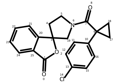 O=C1OC2(CCN(C(=O)C3(c4ccc(Cl)cc4)CC3)C2)c2ccccc21